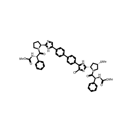 COC(=O)N[C@H](C(=O)N1CCC[C@H]1c1ncc(-c2ccc(-c3ccc(-c4[nH]c([C@@H]5C[C@H](SC)CN5C(=O)[C@@H](NC(=O)OC)c5ccccc5)nc4Cl)cc3)cc2)[nH]1)c1ccccc1